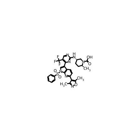 Cc1noc(C)c1-c1ccc2c(-c3nc(N[C@H]4CC[C@H](C)N(C(=O)O)C4)ncc3C(F)(F)F)cn(S(=O)(=O)c3ccccc3)c2n1